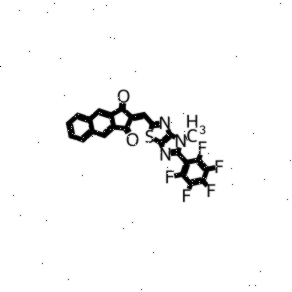 Cn1c(-c2c(F)c(F)c(F)c(F)c2F)nc2sc(C=C3C(=O)c4cc5ccccc5cc4C3=O)nc21